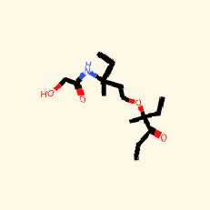 CCC(=O)C(C)(CC)OCCC(C)(CC)NC(=O)CO